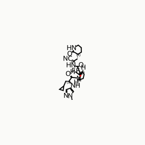 Cn1cc(N[C@@H](CC2CC2)C(=O)N2[C@H]3CC[C@@H]([C@@H]2C(=O)N[C@@H](C#N)C[C@H]2CCCNC2=O)C(F)(F)C3)cn1